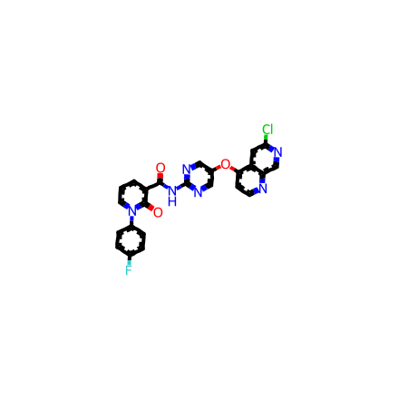 O=C(Nc1ncc(Oc2ccnc3cnc(Cl)cc23)cn1)c1cccn(-c2ccc(F)cc2)c1=O